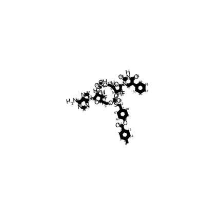 Cc1ccc(C(=O)Oc2ccc(CSP3(=O)OC[C@H]4O[C@@H](n5cnc6c(N)ncnc65)[C@H](OP(=O)(O)OC[C@H]5O[C@@H](n6cc(-c7ccccc7)c(=O)[nH]c6=O)[C@H](F)[C@@H]5O3)[C@@H]4F)cc2)cc1